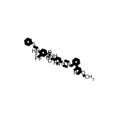 CCOc1cncc(-c2ccccc2CN2CCN(c3ccc(C(=O)NS(=O)(=O)c4ccc(NCCSc5ccccc5)c(C(F)(F)F)c4)nn3)CC2)c1